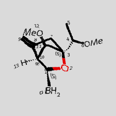 B[C@@H]1O[C@]2(C(C)OC)CC(=C)[C@H]1C2OC